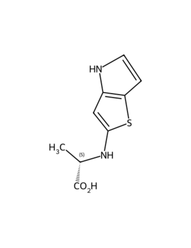 C[C@H](Nc1cc2[nH]ccc2s1)C(=O)O